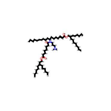 CCCCCCCCCCC(CCCCC=CC(=O)OCC(CCCCCC)CCCCCCCC)N(CCCN(C)C)C(=O)CCCCCCC(=O)OCCC(CCCCCC)CCCCCC